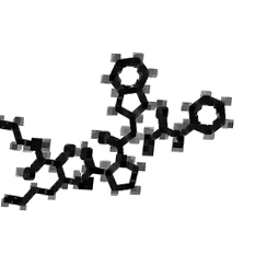 C=CCCC(NC(=O)[C@@H]1CCCN1C(=O)[C@@H](NC(=O)Nc1ccccc1)C1Cc2ccccc2C1)C(=O)C(=O)NCC=C